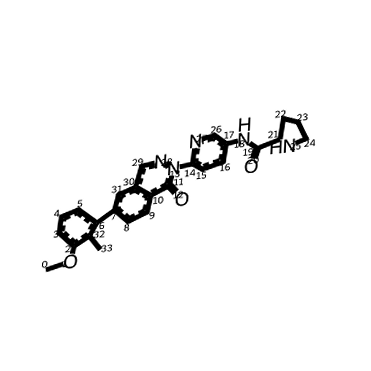 COc1cccc(-c2ccc3c(=O)n(-c4ccc(NC(=O)C5CCCN5)cn4)ncc3c2)c1C